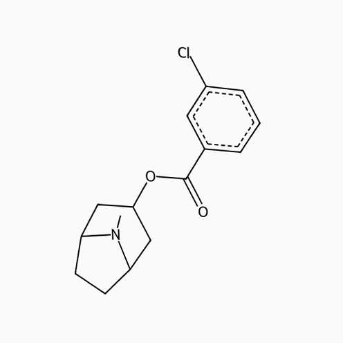 CN1C2CCC1CC(OC(=O)c1cccc(Cl)c1)C2